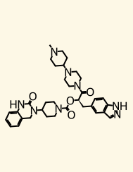 CN1CCC(N2CCN(C(=O)[C@@H](Cc3ccc4[nH]ncc4c3)OC(=O)N3CCC(N4Cc5ccccc5NC4=O)CC3)CC2)CC1